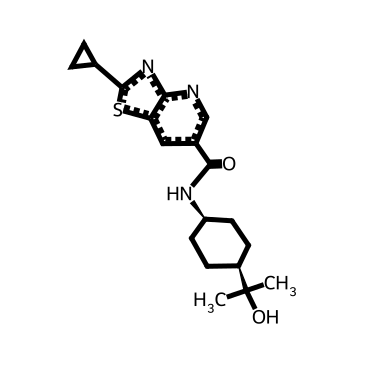 CC(C)(O)[C@H]1CC[C@@H](NC(=O)c2cnc3nc(C4CC4)sc3c2)CC1